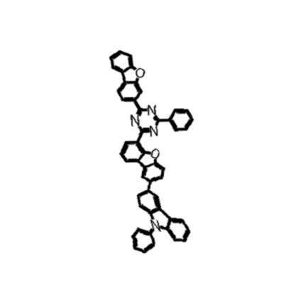 c1ccc(-c2nc(-c3ccc4c(c3)oc3ccccc34)nc(-c3cccc4c3oc3ccc(-c5ccc6c(c5)c5ccccc5n6-c5ccccc5)cc34)n2)cc1